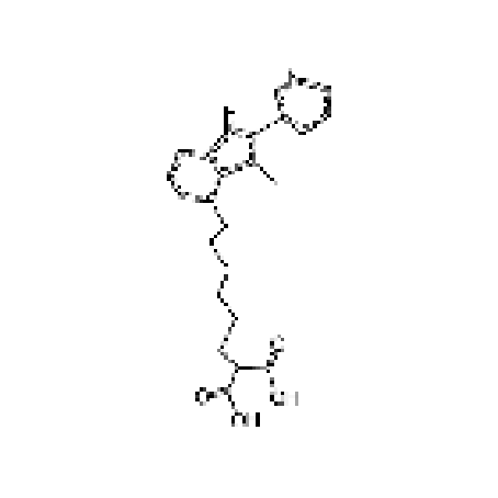 Cc1c(-c2cccnc2)[nH]c2cccc(CCCCCCC(C(=O)O)C(=O)O)c12